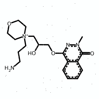 Cn1nc(OCC(O)C[N+]2(CCCN)CCOCC2)c2ccccc2c1=O